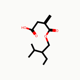 C=C(CC(=O)O)C(=O)OCC(CC)C(C)C